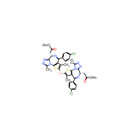 COC(=O)C[C@@H]1N=C(c2ccc(Cl)cc2)c2c(sc(Bc3sc4c(c3C)C(c3ccc(Cl)cc3)=N[C@@H](CC(=O)OC)c3nnc(C)n3-4)c2C)-n2c(C)nnc21